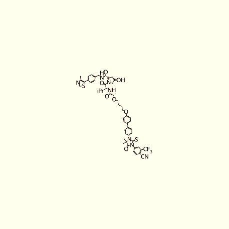 Cc1ncsc1-c1ccc(CNC(=O)[C@@H]2C[C@@H](O)CN2C(=O)C(NC(=O)COCCCCOc2ccc(-c3ccc(N4C(=S)N(c5ccc(C#N)c(C(F)(F)F)c5)C(=O)C4(C)C)cc3)cc2)C(C)C)cc1